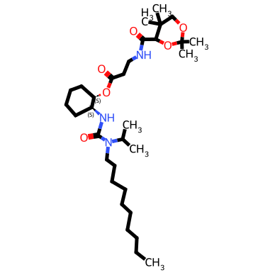 CCCCCCCCCCN(C(=O)N[C@H]1CCCC[C@@H]1OC(=O)CCNC(=O)C1OC(C)(C)OCC1(C)C)C(C)C